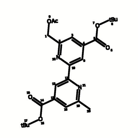 CC(=O)OCc1cc(C(=O)OC(C)(C)C)cc(-c2cc(C(=O)OC(C)(C)C)cc(C)n2)n1